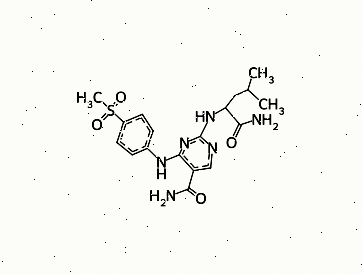 CC(C)CC(Nc1ncc(C(N)=O)c(Nc2ccc(S(C)(=O)=O)cc2)n1)C(N)=O